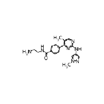 Cc1cnc(Nc2cnn(C)c2)nc1-c1ccc(C(=O)NCCN)cc1